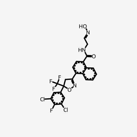 O=C(NCC=NO)c1ccc(C2=NOC(c3cc(Cl)c(F)c(Cl)c3)(C(F)(F)F)C2)c2ccccc12